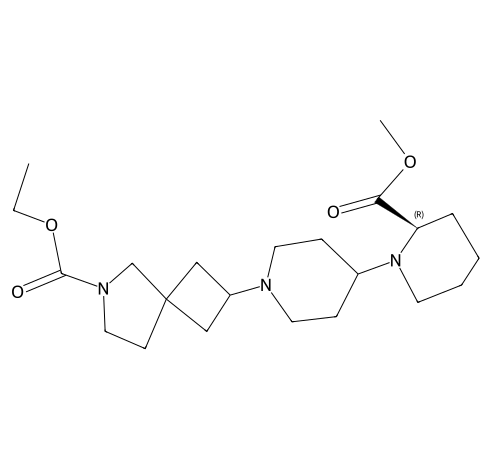 CCOC(=O)N1CCC2(CC(N3CCC(N4CCCC[C@@H]4C(=O)OC)CC3)C2)C1